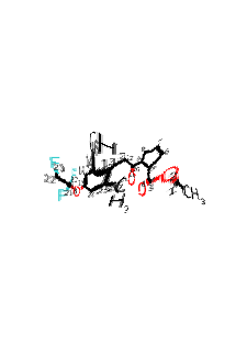 CCOC(=O)C1CCCC1C(=O)Cc1c(C)cc(OC(F)(F)CF)cc1C